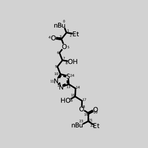 CCCCC(CC)C(=O)OCC(O)Cc1nnc(CC(O)COC(=O)C(CC)CCCC)s1